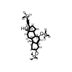 C[C@]12CC[C@H](O[Si](C)(C)C)CC1=C[C@H](O[Si](C)(C)C)C1C2CC[C@@]2(C)C1CC[C@@]2(O)C#C[Si](C)(C)C